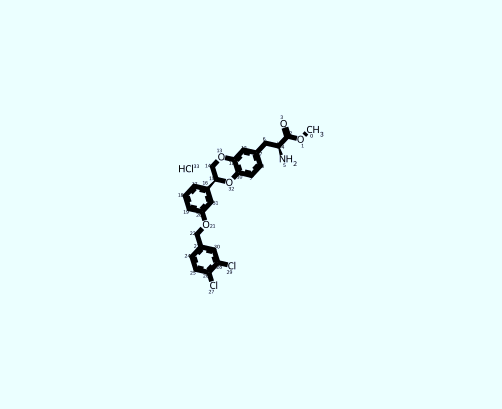 COC(=O)[C@@H](N)Cc1ccc2c(c1)OC[C@H](c1cccc(OCc3ccc(Cl)c(Cl)c3)c1)O2.Cl